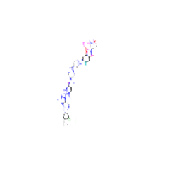 N#Cc1ccc(N2CCc3c(ncnc3Nc3ccc(C(=O)NC4CCN(CC5CCN(c6cc7c(cc6F)C(=O)N(C6CCC(=O)NC6=O)C7=O)CC5)CC4)cn3)C2)cc1Cl